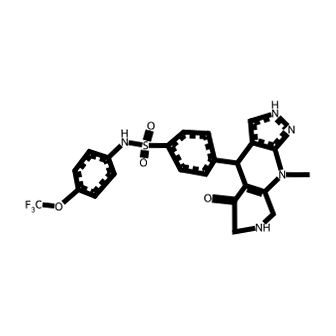 CN1C2=C(C(=O)CNC2)C(c2ccc(S(=O)(=O)Nc3ccc(OC(F)(F)F)cc3)cc2)c2c[nH]nc21